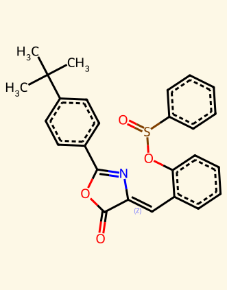 CC(C)(C)c1ccc(C2=N/C(=C\c3ccccc3OS(=O)c3ccccc3)C(=O)O2)cc1